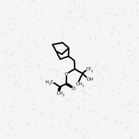 C=C(C)C(=O)OC(CC1CC2CCC1C2)C(C)(O)C(F)(F)F